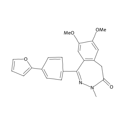 COc1cc2c(cc1OC)C(c1ccc(-c3ccco3)cc1)=NN(C)C(=O)C2